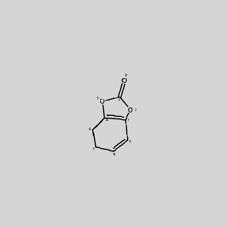 O=c1oc2c(o1)CCC=C2